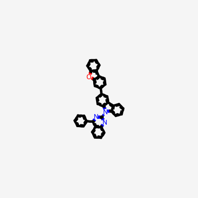 c1ccc(-c2nc(-n3c4ccccc4c4cc(-c5ccc6c(c5)oc5ccccc56)ccc43)nc3ccccc23)cc1